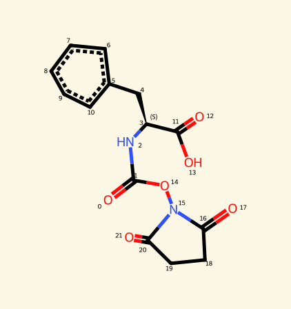 O=C(N[C@@H](Cc1ccccc1)C(=O)O)ON1C(=O)CCC1=O